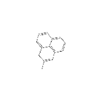 CC1=Cc2cccc3cccc(c23)C1